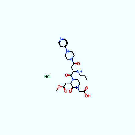 CCCN[C@H](CC(=O)N1CCN(c2ccncc2)CC1)C(=O)N1CCN(CC(=O)O)C(=O)[C@@H]1CC(=O)OC.Cl